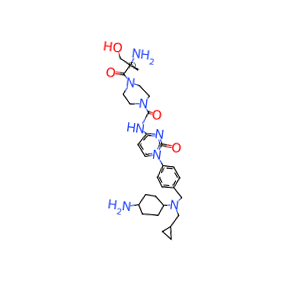 C[C@](N)(CO)C(=O)N1CCN(C(=O)Nc2ccn(-c3ccc(CN(CC4CC4)C4CCC(N)CC4)cc3)c(=O)n2)CC1